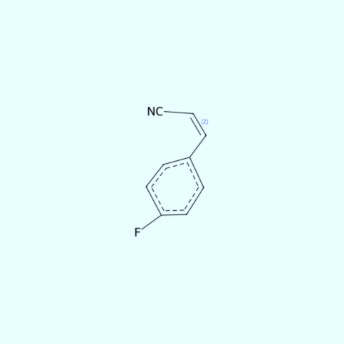 N#C/C=C\c1ccc(F)cc1